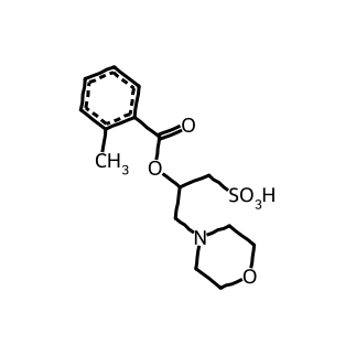 Cc1ccccc1C(=O)OC(CN1CCOCC1)CS(=O)(=O)O